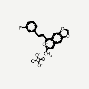 Cc1cc2cc3c(cc2c(C=Cc2cccc(F)c2)[o+]1)OCO3.[O-][Cl+3]([O-])([O-])[O-]